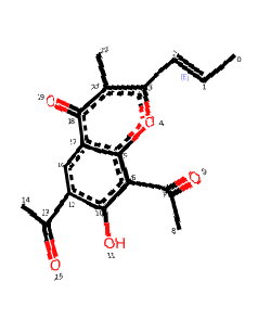 C/C=C/c1oc2c(C(C)=O)c(O)c(C(C)=O)cc2c(=O)c1C